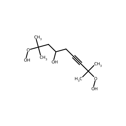 CC(C)(C#CCC(O)CC(C)(C)OO)OO